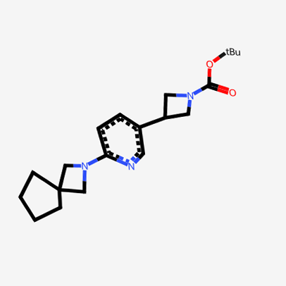 CC(C)(C)OC(=O)N1CC(c2ccc(N3CC4(CCCC4)C3)nc2)C1